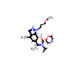 COCCCn1ncc2c(C)cc([C@@H](C)N(C(=O)[C@H]3CNCCO3)C3CC3)cc21